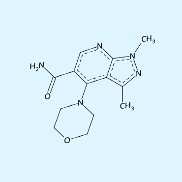 Cc1nn(C)c2ncc(C(N)=O)c(N3CCOCC3)c12